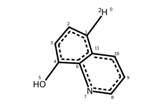 [2H]c1ccc(O)c2ncccc12